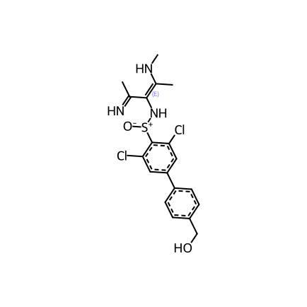 CN/C(C)=C(/N[S+]([O-])c1c(Cl)cc(-c2ccc(CO)cc2)cc1Cl)C(C)=N